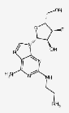 NCCNc1nc(N)c2ncn([C@@H]3O[C@H](CO)[C@@H](F)[C@H]3O)c2n1